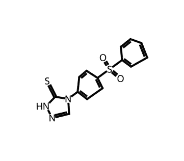 O=S(=O)(c1ccccc1)c1ccc(-n2cn[nH]c2=S)cc1